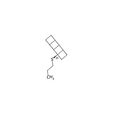 CCCS[C@]12CCC1C1C3CCC3C12